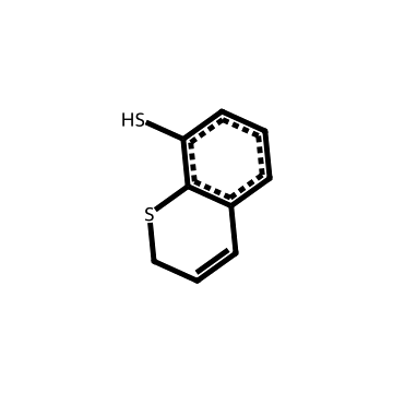 Sc1cccc2c1SCC=C2